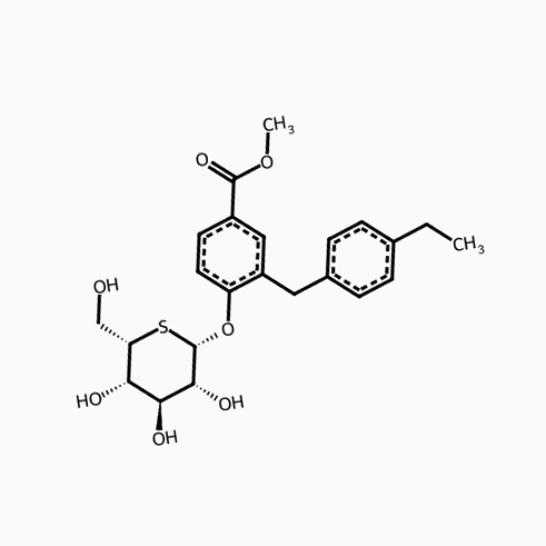 CCc1ccc(Cc2cc(C(=O)OC)ccc2O[C@H]2S[C@@H](CO)[C@@H](O)[C@H](O)[C@H]2O)cc1